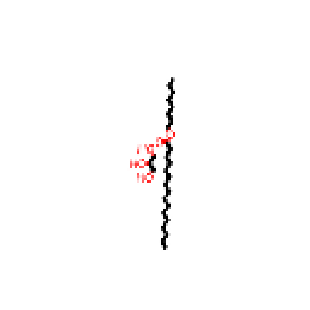 CCCCCCCCCCCCCCCC(=O)OCCCCCCCC.OCC(O)CO